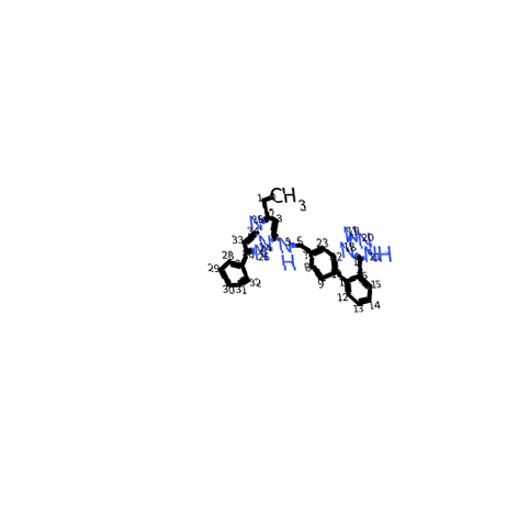 CCc1cc(NCc2ccc(-c3ccccc3-c3nnn[nH]3)cc2)n2nc(-c3ccccc3)cc2n1